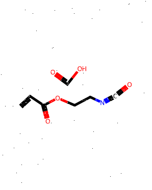 C=CC(=O)OCCN=C=O.O=CO